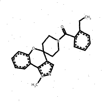 CCc1ccccc1C(=O)N1CCC2(CC1)Oc1ccccc1-c1c2cnn1C